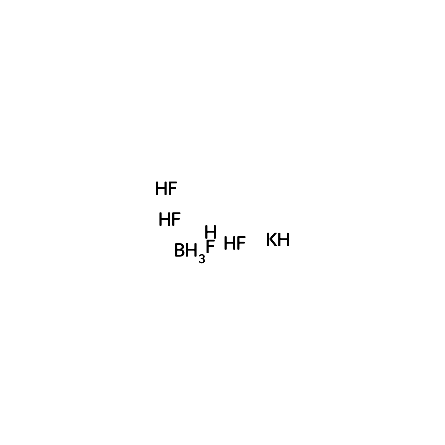 B.F.F.F.F.[KH]